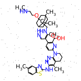 CNCCOC12CC3CC(C)(CC(C)(CC3CN/C(C)=C(\C=N)c3ccc(N4CCCc5c4nnc(Nc4nc6cc(C)ccc6s4)c5C)nc3C(=O)O)C1)C2